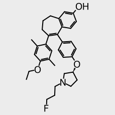 CCOc1cc(C)c(C2=C(c3ccc(O[C@H]4CCN(CCCF)C4)cc3)c3ccc(O)cc3CCC2)cc1C